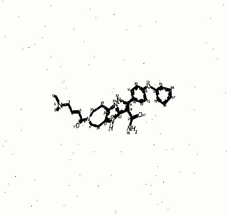 CN(C)CC=CC(=O)N1CCc2[nH]c3c(C(N)=O)c(-c4ccc(Oc5ccccc5)cc4)nn3c2CC1